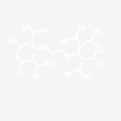 CC(C)N(C(C)C)P(OCCOP1N(C(C)C)C(C)CC(C)N1C(C)C)N(C(C)C)C(C)C